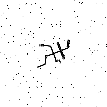 C=CS(=O)(=O)C(N)(C[NH])OCC